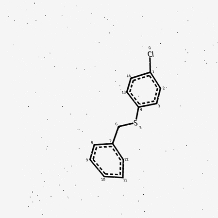 Clc1ccc(SCc2ccccc2)cc1